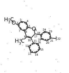 COc1ccc2c(c1)C(C)=C(c1ccccc1)C(c1ccc(I)cc1)O2